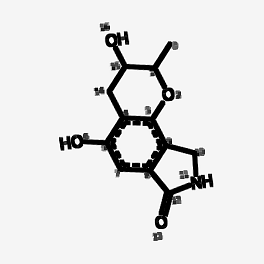 CC1Oc2c(c(O)cc3c2CNC3=O)CC1O